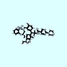 CC[C@@H]1CN(Cc2cc(C(c3ccc4c(nnn4CC)c3C)C(C)(C)NC(=O)c3cnc(N4CCOCC4)nc3)ccc2C)S(=O)(=O)c2ccccc2O1